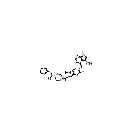 Cc1c[nH]c2nccc(Oc3ccc(C[C@H](N)C(=O)N4CCN(C(=O)Cc5ccccc5)CC4)cc3F)c12